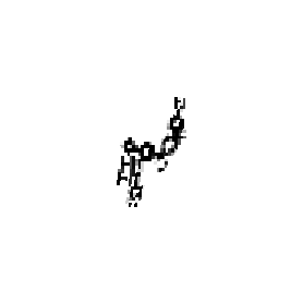 N#Cc1ccc(C2(F)CCN(C(=O)c3ccc(C4CCC4)c(NCN[C@@H]4CCOC4)c3)CC2)cc1